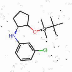 CC(C)(C)[Si](C)(C)OC1CCC[C@@H]1Nc1cccc(Cl)c1